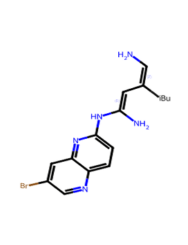 CCC(C)C(=C/N)/C=C(\N)Nc1ccc2ncc(Br)cc2n1